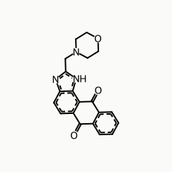 O=C1c2ccccc2C(=O)c2c1ccc1nc(CN3CCOCC3)[nH]c21